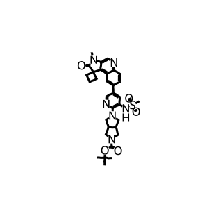 CN1C(=O)C2(CCC2)c2c1cnc1ccc(-c3cnc(N4CC5CN(C(=O)OC(C)(C)C)CC5C4)c(NS(C)(=O)=O)c3)cc21